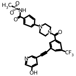 CS(=O)(=O)NC(=O)c1ccc(N2CCN(C(=O)c3cc(C#Cc4cncc(O)c4)cc(C(F)(F)F)c3)CC2)cc1